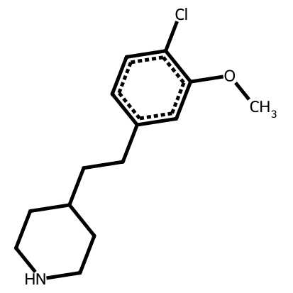 COc1cc(CCC2CCNCC2)ccc1Cl